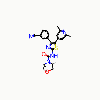 Cc1cc(-c2sc(NC(=O)N3CCOC[C@H]3C)nc2-c2cccc(C#N)c2)cc(C)n1